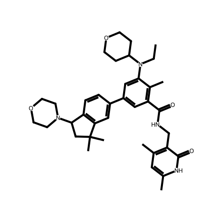 CCN(c1cc(-c2ccc3c(c2)C(C)(C)CC3N2CCOCC2)cc(C(=O)NCc2c(C)cc(C)[nH]c2=O)c1C)C1CCOCC1